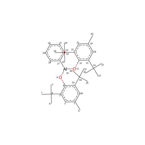 Cc1cc(C(C)(C)C)c([O][Al]([O]c2c(C(C)(C)C)cc(C)cc2C(C)(C)C)[c]2ccccc2)c(C(C)(C)C)c1